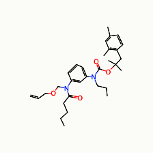 C=CCOCN(C(=O)CCCC)c1cccc(N(CCC)C(=O)OC(C)(C)Cc2ccc(C)cc2C)c1